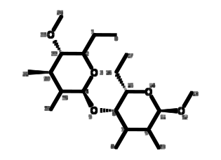 CCC1O[C@@H](O[C@H]2C(C)C(C)[C@H](OC)O[C@H]2CC)C(C)[C@@H](C)[C@@H]1OC